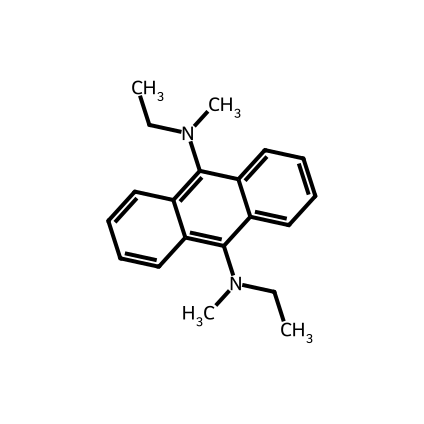 CCN(C)c1c2ccccc2c(N(C)CC)c2ccccc12